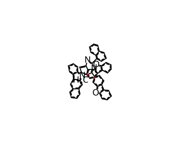 CC1C/C=C(c2c(-n3c4ccccc4c4cc5ccccc5cc43)ccc3c2oc2ccccc23)/N=C(c2cccc3ccccc23)\N=C/1c1ccc2c(c1)oc1ccccc12